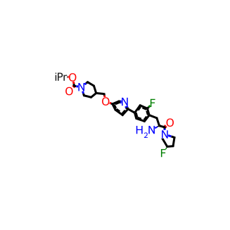 CC(C)OC(=O)N1CCC(COc2ccc(-c3ccc(C[C@H](N)C(=O)N4CC[C@H](F)C4)c(F)c3)nc2)CC1